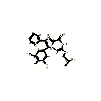 O=c1[nH]c(OCC(F)F)nn2c(-c3cc(F)c(F)c(F)c3)c(-c3ccccn3)nc12